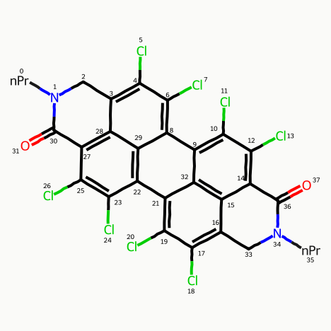 CCCN1Cc2c(Cl)c(Cl)c3c4c(Cl)c(Cl)c5c6c(c(Cl)c(Cl)c(c7c(Cl)c(Cl)c(c2c37)C1=O)c64)CN(CCC)C5=O